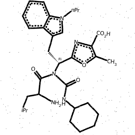 CCCn1cc(C[C@H](c2nc(C(=O)O)c(C)o2)N(C(=O)NC2CCCCC2)C(=O)C(N)CC(C)C)c2ccccc21